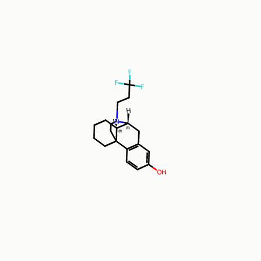 Oc1ccc2c(c1)C[C@@H]1[C@@H]3CCCCC23CCN1CCC(F)(F)F